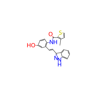 Cc1ccsc1C(=O)Nc1ccc(O)cc1/C=C/c1n[nH]c2ccccc12